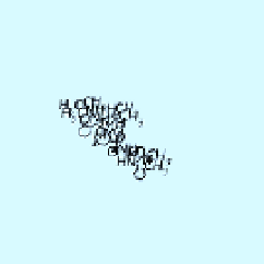 CN(C)C(=O)[C@@H](NC(=O)CNC(=O)C(=O)C(CC1CC1)NC(=O)[C@@H]1[C@@H]2[C@H](CN1C(=O)[C@@H](NC(=O)NC(C)(C)C)C1CCCCC1)C2(C)C)c1ccccc1